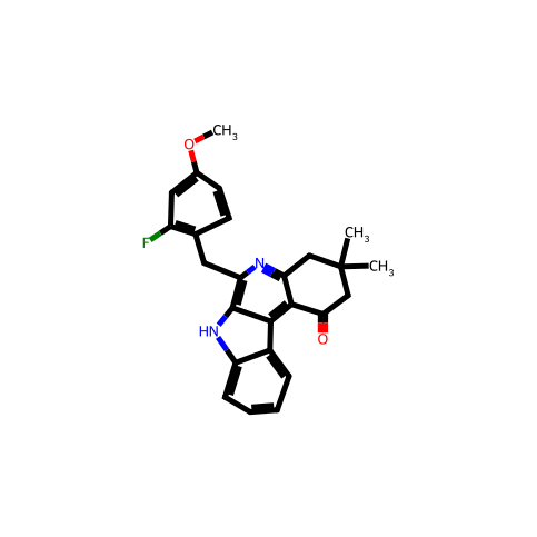 COc1ccc(Cc2nc3c(c4c2[nH]c2ccccc24)C(=O)CC(C)(C)C3)c(F)c1